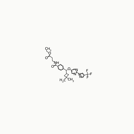 CCOC(=O)CCNC(=O)c1ccc(C(Oc2cnc(-n3cc(C(F)(F)F)cn3)nc2)C2CC(C)(C)C2)cc1